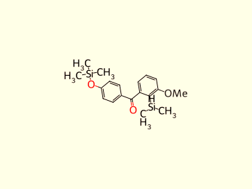 COc1cccc(C(=O)c2ccc(O[Si](C)(C)C)cc2)c1[SiH](C)C